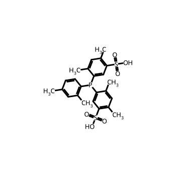 Cc1ccc(P(c2cc(S(=O)(=O)O)c(C)cc2C)c2cc(S(=O)(=O)O)c(C)cc2C)c(C)c1